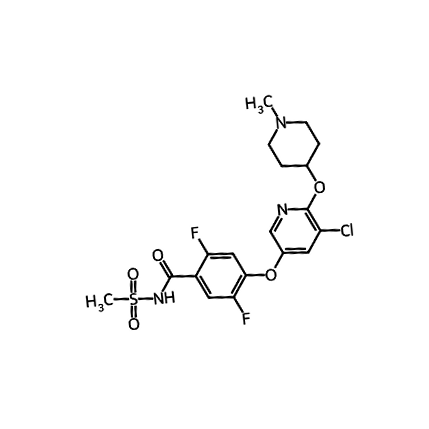 CN1CCC(Oc2ncc(Oc3cc(F)c(C(=O)NS(C)(=O)=O)cc3F)cc2Cl)CC1